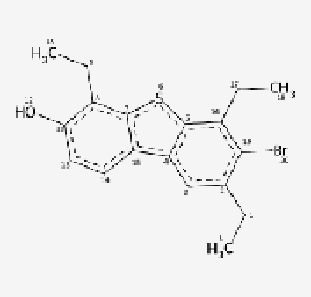 CCc1cc2c(sc3c(CC)c(O)ccc32)c(CC)c1Br